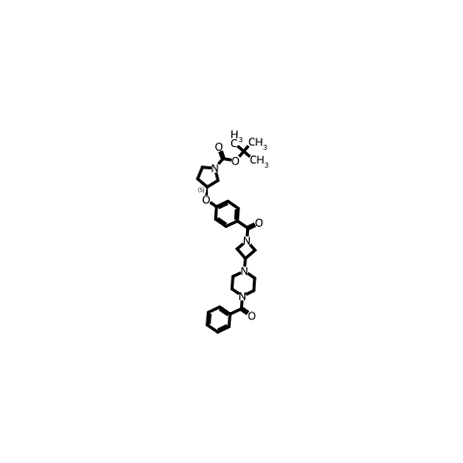 CC(C)(C)OC(=O)N1CC[C@H](Oc2ccc(C(=O)N3CC(N4CCN(C(=O)c5ccccc5)CC4)C3)cc2)C1